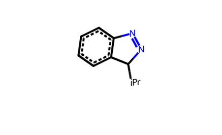 CC(C)C1N=Nc2ccccc21